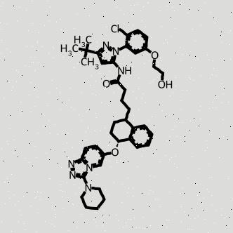 CC(C)(C)c1cc(NC(=O)CCCC2CC[C@@H](Oc3ccc4nnc(N5CCCCC5)n4c3)c3ccccc32)n(-c2cc(OCCO)ccc2Cl)n1